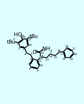 CC(C)(C)c1cc(CCc2ccccc2N(CCCCc2ccccc2)C(N)=O)cc(C(C)(C)C)c1O